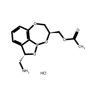 CC(=O)OC[C@@H]1COc2cccc3c2B(O1)O[C@@H]3CN.Cl